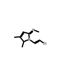 CC/C=C/N1/C(=N\C)C=C(C)C1C